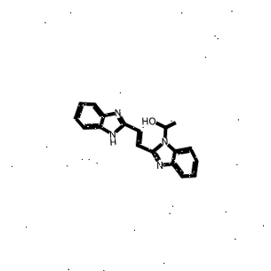 CC(O)n1c(/C=C/c2nc3ccccc3[nH]2)nc2ccccc21